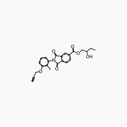 C#CCOc1cccc(N2C(=O)c3ccc(C(=O)OCC(O)CC)cc3C2=O)c1C